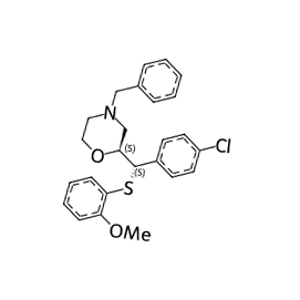 COc1ccccc1S[C@@H](c1ccc(Cl)cc1)[C@@H]1CN(Cc2ccccc2)CCO1